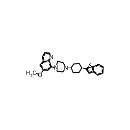 COc1cc(N2CCN([C@H]3CC[C@H](c4cc5ccccc5s4)CC3)CC2)c2ncccc2c1